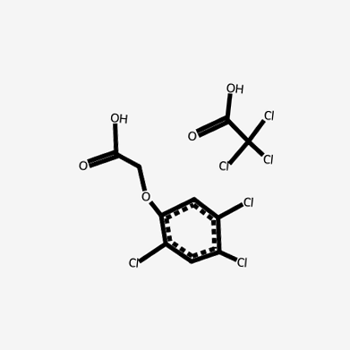 O=C(O)C(Cl)(Cl)Cl.O=C(O)COc1cc(Cl)c(Cl)cc1Cl